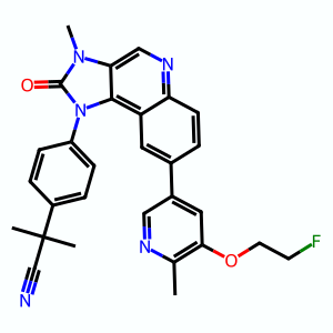 Cc1ncc(-c2ccc3ncc4c(c3c2)n(-c2ccc(C(C)(C)C#N)cc2)c(=O)n4C)cc1OCCF